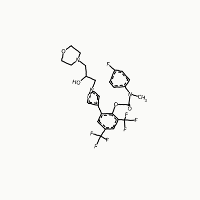 CN(C(=O)Oc1c(-c2cnn(CC(O)CN3CCOCC3)c2)cc(C(F)(F)F)cc1C(F)(F)F)c1ccc(F)cc1